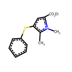 CCOC(=O)c1cc(Sc2ccccc2)c(C)n1C